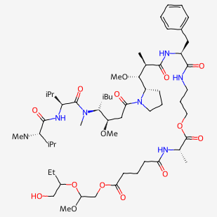 CCC(CO)OC(COC(=O)CCCC(=O)N[C@@H](C)C(=O)OCCCNC(=O)[C@H](Cc1ccccc1)NC(=O)[C@H](C)[C@@H](OC)[C@@H]1CCCN1C(=O)C[C@@H](OC)[C@H]([C@@H](C)CC)N(C)C(=O)[C@@H](NC(=O)[C@@H](NC)C(C)C)C(C)C)OC